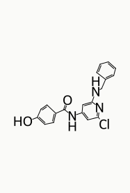 O=C(Nc1cc(Cl)nc(NCc2ccccc2)c1)c1ccc(O)cc1